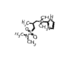 CC(C[Si](C)(C)c1ncc[nH]1)CS(=O)(=O)N(C)C